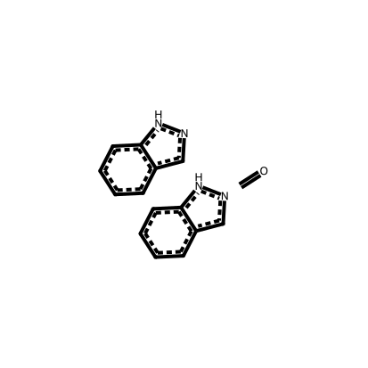 C=O.c1ccc2[nH]ncc2c1.c1ccc2[nH]ncc2c1